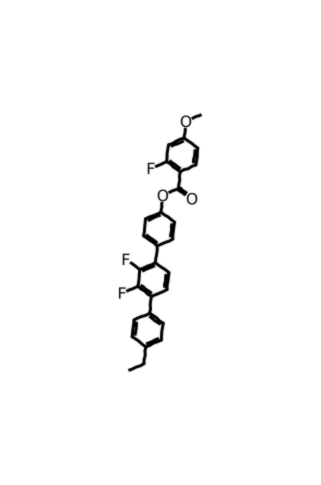 CCc1ccc(-c2ccc(-c3ccc(OC(=O)c4ccc(OC)cc4F)cc3)c(F)c2F)cc1